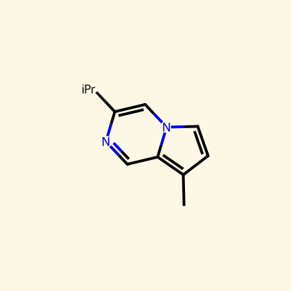 Cc1ccn2cc(C(C)C)ncc12